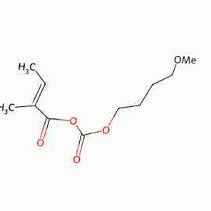 CC=C(C)C(=O)OC(=O)OCCCCOC